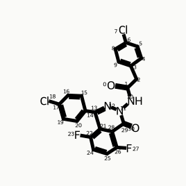 O=C(Cc1ccc(Cl)cc1)Nn1nc(-c2ccc(Cl)cc2)c2c(F)ccc(F)c2c1=O